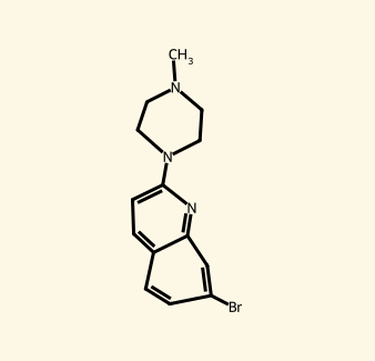 CN1CCN(c2ccc3ccc(Br)cc3n2)CC1